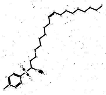 [C-]#[N+]C(CCCCCCCC/C=C\CCCCCCCC)S(=O)(=O)c1ccc(C)cc1